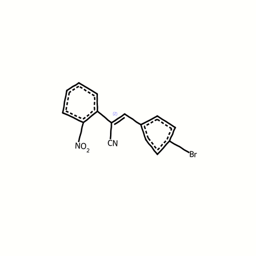 N#C/C(=C\c1ccc(Br)cc1)c1ccccc1[N+](=O)[O-]